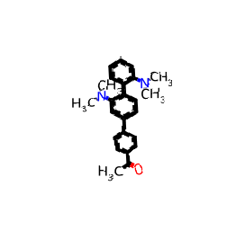 CC(=O)c1ccc(-c2ccc(-c3cc[c]cc3N(C)C)c(N(C)C)c2)cc1